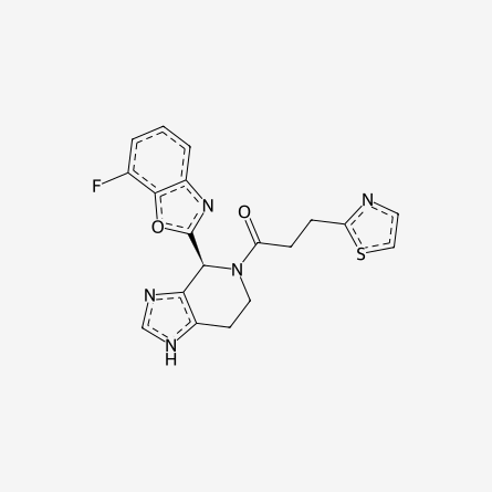 O=C(CCc1nccs1)N1CCc2[nH]cnc2[C@H]1c1nc2cccc(F)c2o1